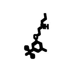 CCCNCCOc1cc(C)cc(S(C)(=O)=O)c1